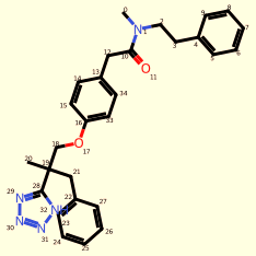 CN(CCc1ccccc1)C(=O)Cc1ccc(OCC(C)(Cc2ccccc2)c2nnn[nH]2)cc1